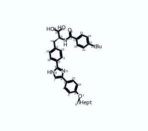 CCCCCCCOc1ccc(-c2c[nH]c(-c3ccc(C[C@H](NC(=O)c4ccc(C(C)(C)C)cc4)C(O)O)cc3)n2)cc1